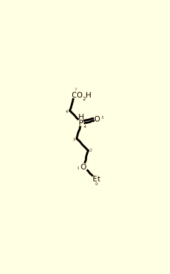 CCOCC[PH](=O)CC(=O)O